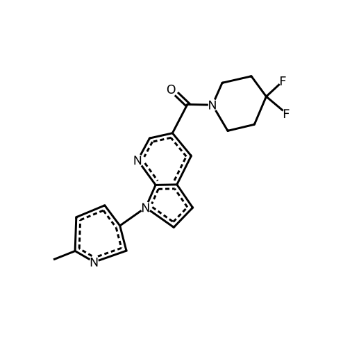 Cc1ccc(-n2ccc3cc(C(=O)N4CCC(F)(F)CC4)cnc32)cn1